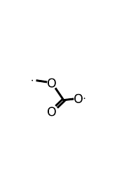 [CH2]OC([O])=O